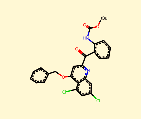 CC(C)(C)OC(=O)Nc1ccccc1C(=O)c1cc(OCc2ccccc2)c2c(Cl)cc(Cl)cc2n1